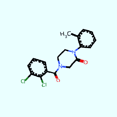 Cc1ccccc1N1CCN(C(=O)c2cccc(Cl)c2Cl)CC1=O